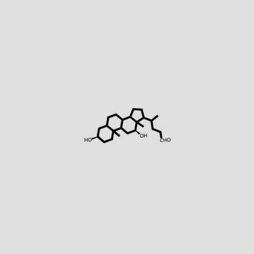 CC(CCC=O)C1CCC2C3CCC4C[C@H](O)CCC4(C)C3C[C@H](O)C12C